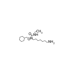 CCNC(=O)N(CCCCCCCN)OCC1CCCCC1